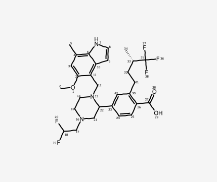 COc1cc(C)c2[nH]ccc2c1CN1CCN(CC(F)F)CC1c1ccc(C(=O)O)c(CC[C@H](C)C(F)(F)F)c1